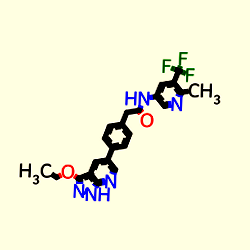 CCOc1n[nH]c2ncc(-c3ccc(CC(=O)Nc4cnc(C)c(C(F)(F)F)c4)cc3)cc12